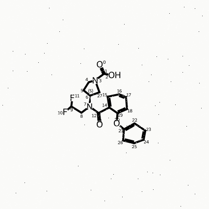 O=C(O)N1CC[C@H](N(CC(F)F)C(=O)c2ccccc2Oc2ccccc2)C1